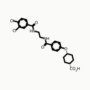 O=C(NCCNC(=O)c1ccc(Cl)c(Cl)c1)c1ccc(O[C@H]2CC[C@@H](C(=O)O)CC2)cc1